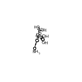 CC(CO)(CO)COC(=O)[C@@H](NC(=O)c1ccc(C#Cc2ccc(N)cc2)cc1)[C@@](C)(O)c1ccc(O)cc1